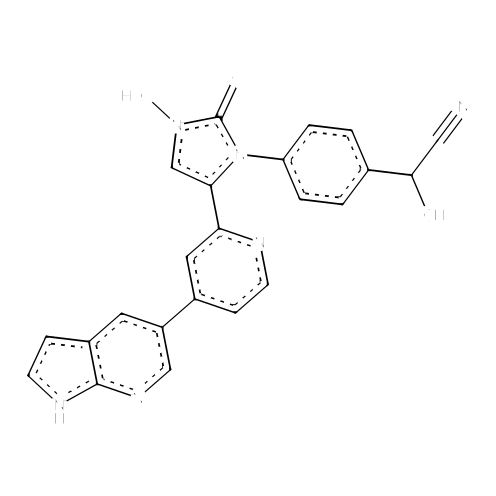 CC(C#N)c1ccc(-n2c(-c3cc(-c4cnc5[nH]ccc5c4)ccn3)cn(C)c2=O)cc1